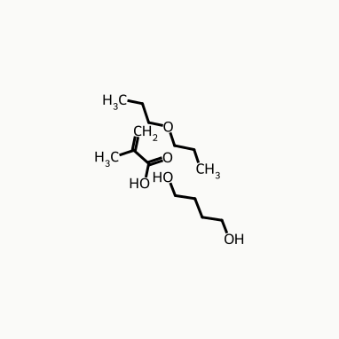 C=C(C)C(=O)O.CCCOCCC.OCCCCO